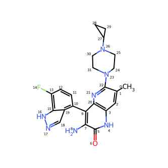 Cc1cc2[nH]c(=O)c(N)c(-c3ccc(F)c4[nH]ncc34)c2nc1N1CCN(C2CC2)CC1